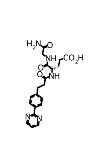 NC(=O)CNC(=O)[C@H](CCC(=O)O)NC(=O)CCc1ccc(-c2ncccn2)cc1